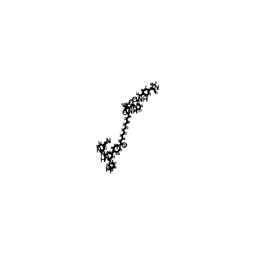 Cc1ncsc1-c1ccc([C@H](C)NC(=O)[C@@H]2CCCN2C(=O)[C@@H](NC(=O)CCCCCCCCCCC(=O)N2CCC(c3cc(Nc4cc(C#N)ccn4)nc(N4CCC(F)(F)C4)c3)CC2)C(C)(C)C)cc1